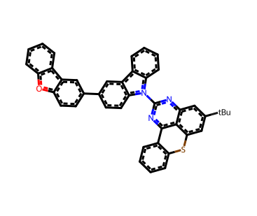 CC(C)(C)c1cc2c3c(nc(-n4c5ccccc5c5cc(-c6ccc7oc8ccccc8c7c6)ccc54)nc3c1)-c1ccccc1S2